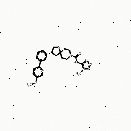 Cn1nnnc1NC(=O)N1CCC2(CC1)C[C@H](c1cccc(-c3ccc(OC(F)(F)F)cn3)c1)CO2